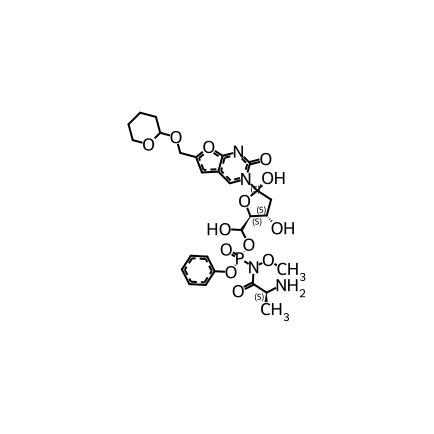 CON(C(=O)[C@H](C)N)P(=O)(Oc1ccccc1)OC(O)[C@H]1O[C@](O)(n2cc3cc(COC4CCCCO4)oc3nc2=O)C[C@@H]1O